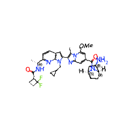 COc1cc(C(=O)N2[C@H]3CC[C@@H]2[C@H](N)C3)cc2nc(-c3cc4ccc([C@@H](C)NC(=O)C5CCC5(F)F)nc4n3CC3CC3)c(C)n12